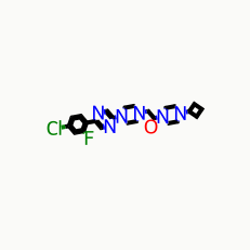 O=C(CN1CCN(c2cnc(-c3ccc(Cl)cc3F)cn2)CC1)N1CCN(C2CCC2)CC1